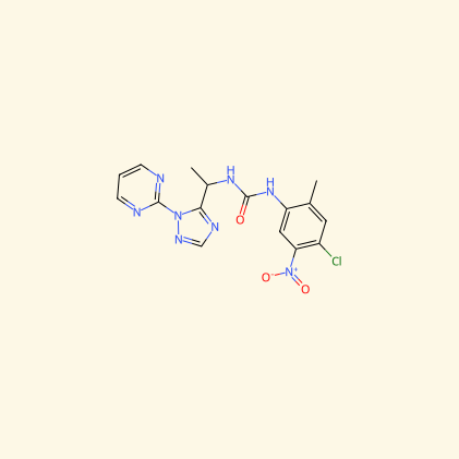 Cc1cc(Cl)c([N+](=O)[O-])cc1NC(=O)NC(C)c1ncnn1-c1ncccn1